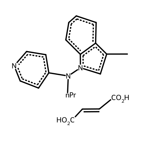 CCCN(c1ccncc1)n1cc(C)c2ccccc21.O=C(O)C=CC(=O)O